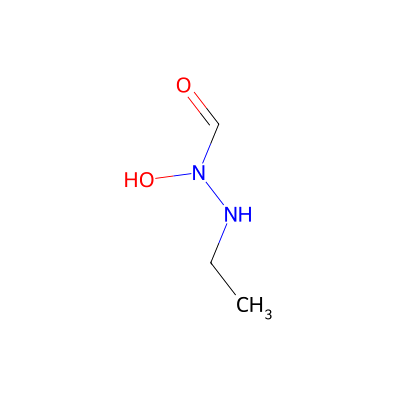 CCNN(O)C=O